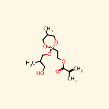 C=C(C)C(=O)OCC[Si]1(OCC(C)CO)OCC(C)CO1